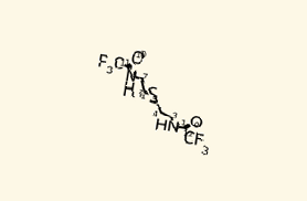 O=C(NCCSCCNC(=O)C(F)(F)F)C(F)(F)F